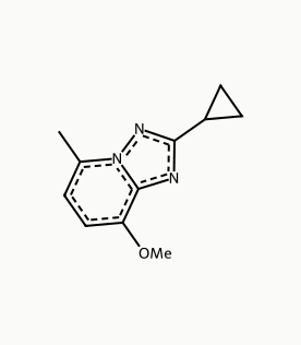 COc1ccc(C)n2nc(C3CC3)nc12